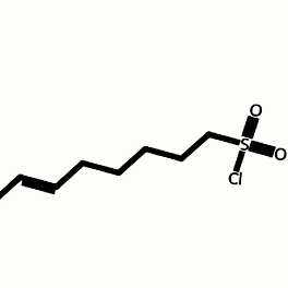 CC=CCCCCCS(=O)(=O)Cl